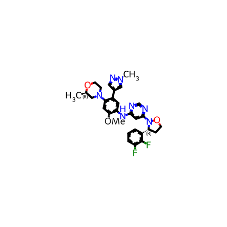 COc1cc(N2CCO[C@H](C)C2)c(-c2cnn(C)c2)cc1Nc1cc(N2OCC[C@@H]2c2cccc(F)c2F)ncn1